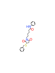 O=C(CCCCCN1C(=O)CC(SCc2ccccc2)C1=O)Nc1ccccc1